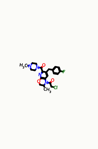 CC1COc2nc(C(=O)N3CCN(C)CC3)c(Cc3ccc(F)cc3)cc2N1C(=O)CCl